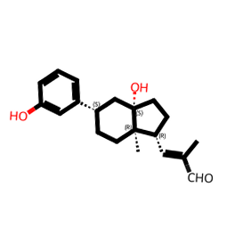 CC(C=O)=C[C@H]1CC[C@]2(O)C[C@@H](c3cccc(O)c3)CC[C@]12C